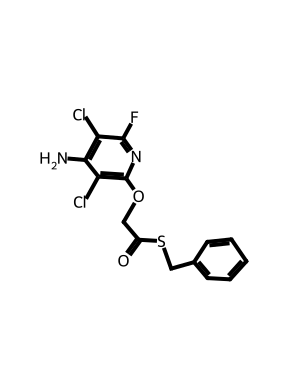 Nc1c(Cl)c(F)nc(OCC(=O)SCc2ccccc2)c1Cl